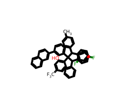 Cc1ccc([C](c2ccc(F)cc2F)C(c2ccc(C(F)(F)F)cc2)(c2cccc(-c3ccc4ccccc4c3)c2O)C(c2ccccc2)c2ccccc2)cc1